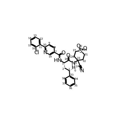 C[C@@H](C[C@H](NC(=O)c1ccc(-c2ccccc2Cl)nc1)C(=O)NC1(C#N)CCS(=O)(=O)CC1)c1ccccc1